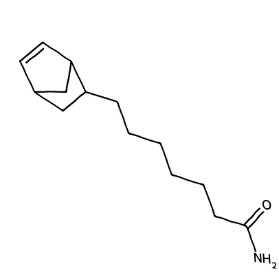 NC(=O)CCCCCCC1CC2C=CC1C2